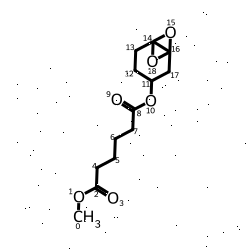 COC(=O)CCCCC(=O)OC1CCC23OC2(C1)O3